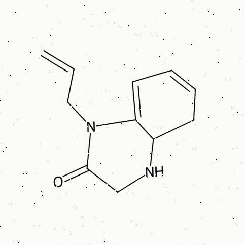 C=CCN1C(=O)CNC2CC=CC=C21